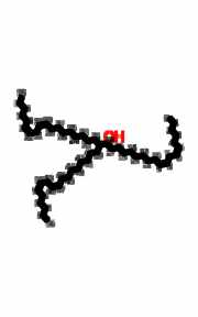 CCCCC/C=C\C/C=C\CCCCCCCCC(O)C(CCCCCCCC/C=C\C/C=C\CCCCC)CCCCCCCC/C=C\C/C=C\CCCCC